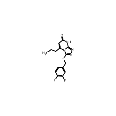 CCCc1cc(=O)[nH]c2nnc(SCc3ccc(F)c(F)c3)n12